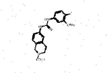 COc1cc(NC(=O)Nc2ccc3c(c2)CCN(C(=O)O)C3)ccc1F